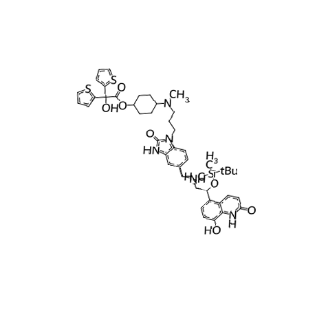 CN(CCCn1c(=O)[nH]c2cc(CNC[C@@H](O[Si](C)(C)C(C)(C)C)c3ccc(O)c4[nH]c(=O)ccc34)ccc21)C1CCC(OC(=O)C(O)(c2cccs2)c2cccs2)CC1